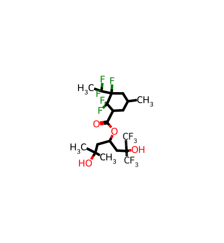 CC1CC(C(=O)OC(CC(C)(C)O)CC(O)(C(F)(F)F)C(F)(F)F)C(F)(F)C(F)(C(C)(F)F)C1